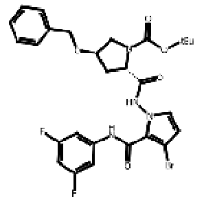 CC(C)(C)OC(=O)N1C[C@H](OCc2ccccc2)C[C@H]1C(=O)Nn1ccc(Br)c1C(=O)Nc1cc(F)cc(F)c1